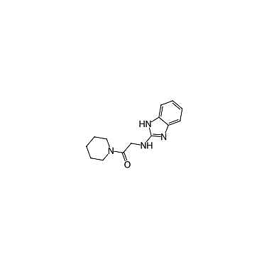 O=C(CNc1nc2ccccc2[nH]1)N1CCCCC1